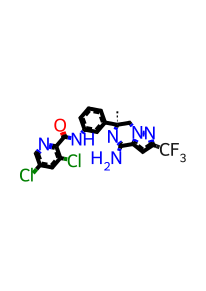 C[C@]1(c2cccc(NC(=O)c3ncc(Cl)cc3Cl)c2)Cn2nc(C(F)(F)F)cc2C(N)=N1